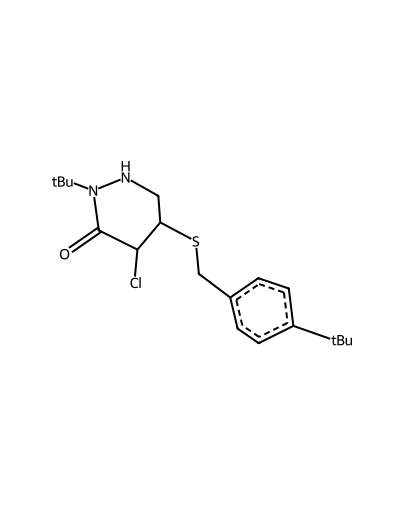 CC(C)(C)c1ccc(CSC2CNN(C(C)(C)C)C(=O)C2Cl)cc1